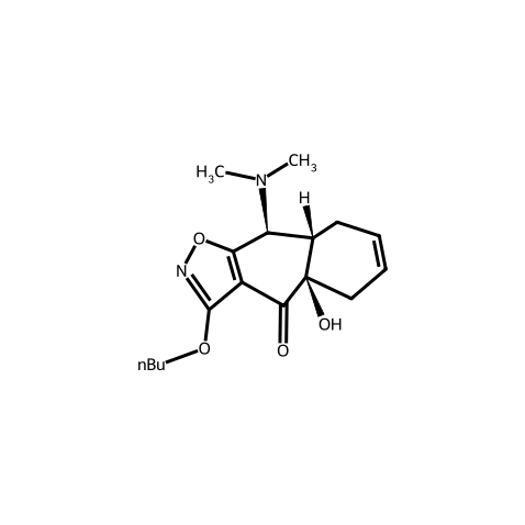 CCCCOc1noc2c1C(=O)[C@@]1(O)CC=CC[C@H]1[C@@H]2N(C)C